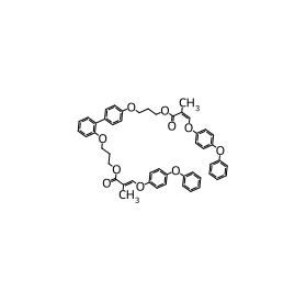 CC(=COc1ccc(Oc2ccccc2)cc1)C(=O)OCCCOc1ccc(-c2ccccc2OCCCOC(=O)C(C)=COc2ccc(Oc3ccccc3)cc2)cc1